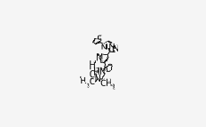 CCN(CC)C(C)CNC(=O)c1cncc(-c2cnn3ccc(-c4cccs4)nc23)c1